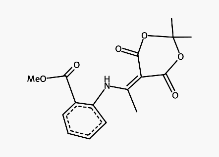 COC(=O)c1ccccc1NC(C)=C1C(=O)OC(C)(C)OC1=O